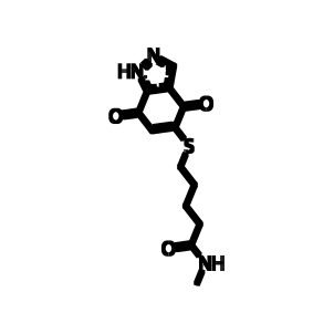 CNC(=O)CCCCSC1=CC(=O)c2[nH]ncc2C1=O